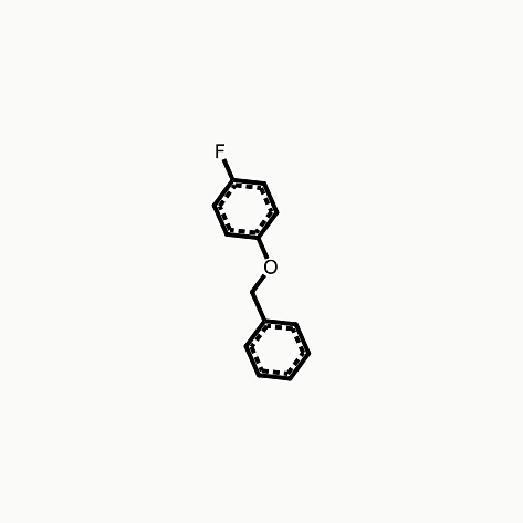 Fc1ccc(OCc2ccccc2)cc1